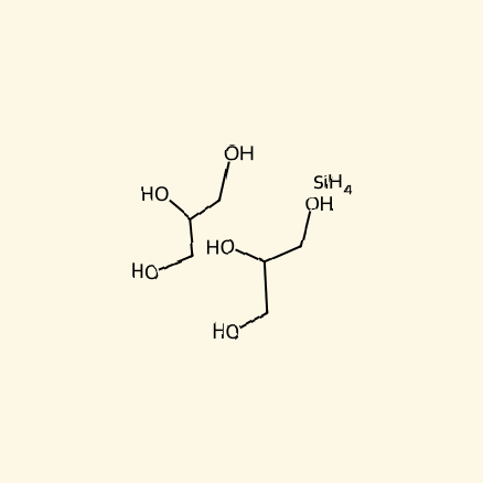 OCC(O)CO.OCC(O)CO.[SiH4]